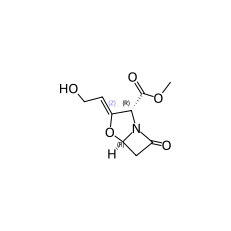 COC(=O)[C@H]1/C(=C/CO)O[C@@H]2CC(=O)N21